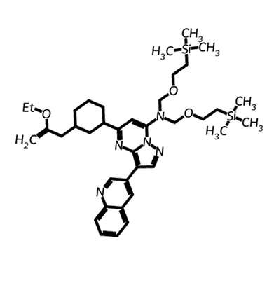 C=C(CC1CCCC(c2cc(N(COCC[Si](C)(C)C)COCC[Si](C)(C)C)n3ncc(-c4cnc5ccccc5c4)c3n2)C1)OCC